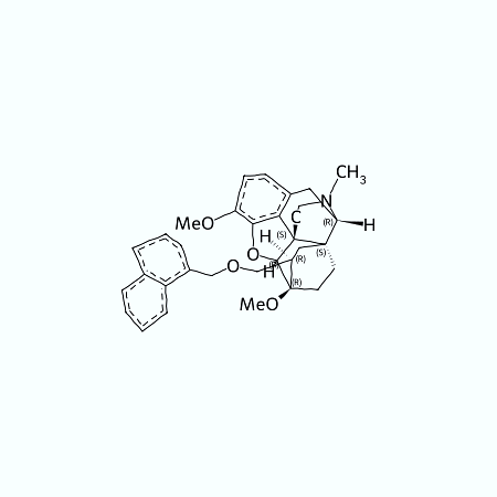 COc1ccc2c3c1O[C@H]1[C@@]4(OC)CC[C@@]5(C[C@@H]4COCc4cccc6ccccc46)[C@@H](C2)N(C)CC[C@]315